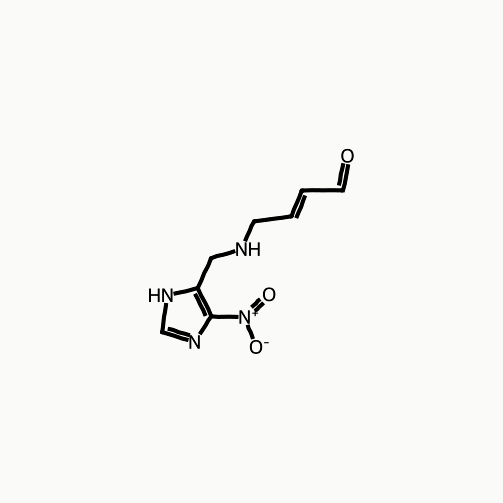 O=C/C=C/CNCc1[nH]cnc1[N+](=O)[O-]